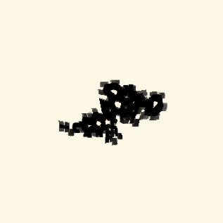 Cc1nc2nn(C)cc2cc1-n1nc(-c2cccc3nn(C[C@H](O)c4ccccc4)cc23)c(C(C)C)c1C